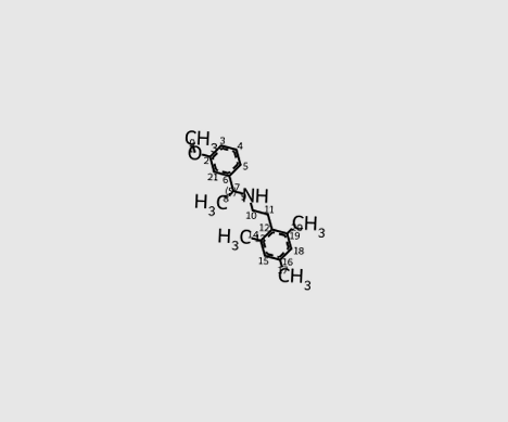 COc1cccc([C@H](C)NCCc2c(C)cc(C)cc2C)c1